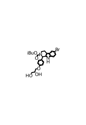 CC(C)COC(=O)N1CCc2c([nH]c3ccc(Br)cc23)C1c1ccc(OCC(O)CO)cc1